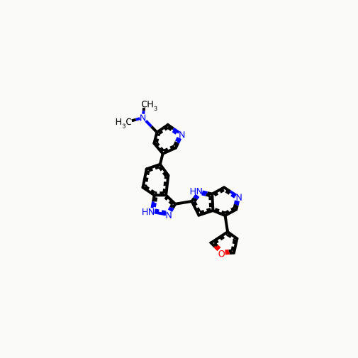 CN(C)c1cncc(-c2ccc3[nH]nc(-c4cc5c(-c6ccoc6)cncc5[nH]4)c3c2)c1